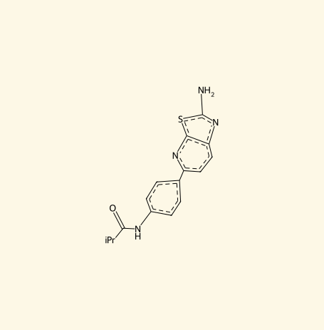 CC(C)C(=O)Nc1ccc(-c2ccc3nc(N)sc3n2)cc1